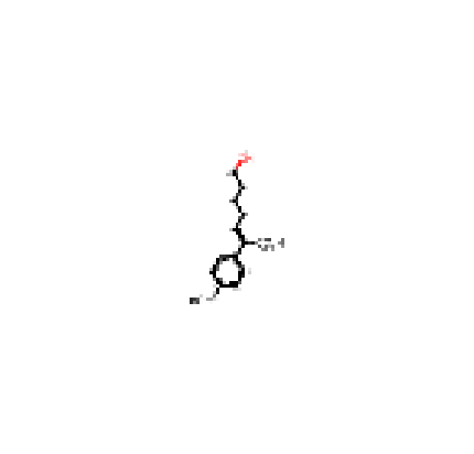 CCCCCCCCc1ccc(C(=CCCCCO)C(=O)O)cc1